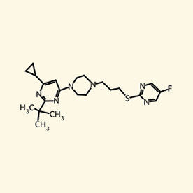 CC(C)(C)c1nc(C2CC2)cc(N2CCN(CCCSc3ncc(F)cn3)CC2)n1